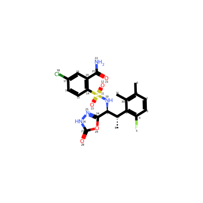 Cc1ccc(F)c([C@H](C)[C@H](NS(=O)(=O)c2ccc(Cl)cc2C(N)=O)c2n[nH]c(=O)o2)c1C